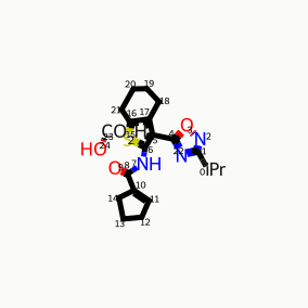 CC(C)c1noc(-c2c(NC(=O)C3=CCCC3)sc3c2CCCC3)n1.O=C(O)O